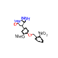 COc1cc(C2CC(=O)Nc3n[nH]cc32)ccc1OCc1ccccc1[N+](=O)[O-]